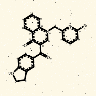 O=C(c1ccc2c(c1)CCO2)c1cn(Cc2cccc(Br)n2)c2ccccc2c1=O